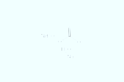 O.O=C([O-])[O-].[Na+].[Ni+2].[OH-]